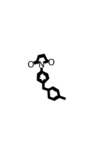 CC1=CCC(Cc2ccc(N3C(=O)C=CC3=O)cc2)C=C1